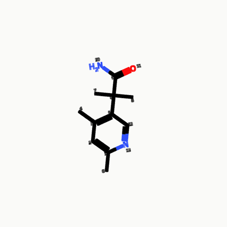 Cc1cc(C)c(C(C)(C)C(N)=O)cn1